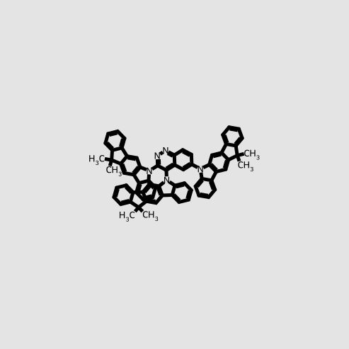 CC1(C)c2ccccc2-c2cc3c(cc21)c1ccccc1n3-c1ccc2nnc(-n3c4ccccc4c4cc5c(cc43)-c3ccccc3C5(C)C)c(-n3c4ccccc4c4cc5c(cc43)-c3ccccc3C5(C)C)c2c1